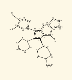 O=C(O)[C@@H]1CC[C@@H](c2c(C3CCOCC3)n(-c3ccc(F)c(F)c3)c3cc4cn[nH]c4c(F)c23)CO1